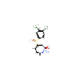 O=C1CC([S+]([O-])c2ccc(Cl)c(Cl)c2)CCCN1